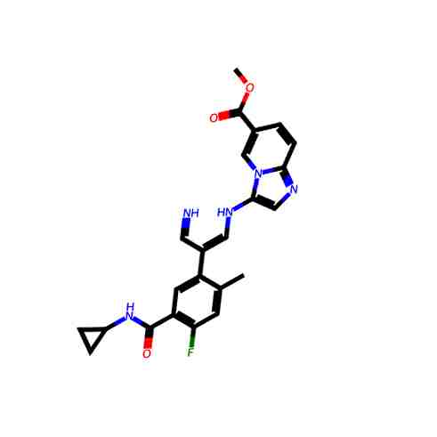 COC(=O)c1ccc2ncc(N/C=C(\C=N)c3cc(C(=O)NC4CC4)c(F)cc3C)n2c1